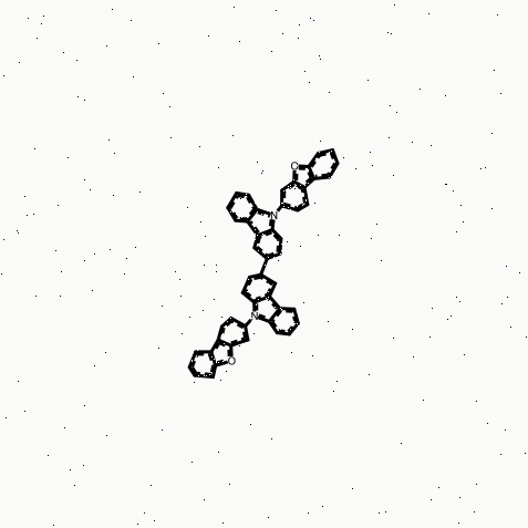 c1ccc2c(c1)oc1cc(-n3c4ccccc4c4cc(-c5ccc6c(c5)c5ccccc5n6-c5ccc6c(c5)oc5ccccc56)ccc43)ccc12